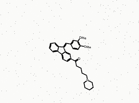 COc1ccc(C=C2c3ccccc3-c3ccc(C(=O)CCCCN4CCCCC4)cc32)cc1OC